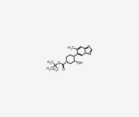 Cc1cc2ncnn2cc1C1CCN(C(=O)OC(C)(C)C)C[C@@H]1O